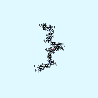 C=C1C(=O)/C(=C/Nc2cc(Br)c(N/C=C3\C(=O)C(=C)C(=O)/C(=C/Nc4ccc(N/C=C5\C(=O)C(=C)C(=O)/C(=C/Nc6ccc(/C(N)=C7/C(=O)C(=C)C(=O)/C(=C/Nc8ccc(N/C=C9\C(=O)C(=C)C(=O)/C(=C/Nc%10cc(Cl)c(N/C=C%11\C(=O)C(=C)C(=O)/C(=C/Nc%12cc(Br)c(C)cc%12Br)C%11=O)cc%10Cl)C9=O)cc8)C7=O)cc6C(F)(F)F)C5=O)cc4)C3=O)cc2Br)C(=O)/C(=C/N)C1=O